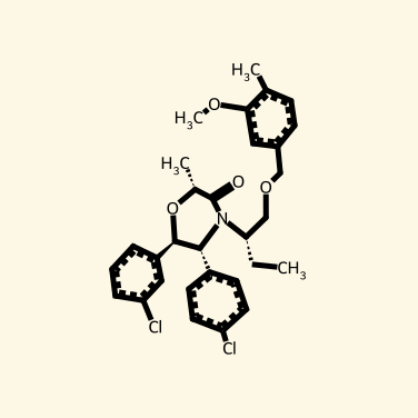 CC[C@@H](COCc1ccc(C)c(OC)c1)N1C(=O)[C@@H](C)O[C@H](c2cccc(Cl)c2)[C@H]1c1ccc(Cl)cc1